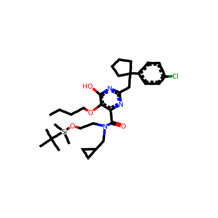 CCCCOc1c(O)nc(CC2(c3ccc(Cl)cc3)CCCC2)nc1C(=O)N(CCO[Si](C)(C)C(C)(C)C)CC1CC1